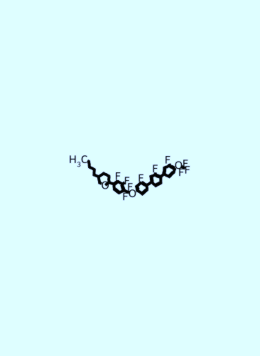 CCCCCC1CCC(c2ccc(C(F)(F)Oc3ccc(-c4ccc(-c5ccc(OC(F)(F)F)c(F)c5)c(F)c4)c(F)c3)c(F)c2F)OC1